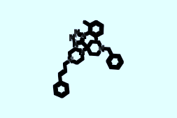 Cc1cccc(C)c1-n1nnnc1C1(N2CCN(CC=Cc3ccccc3)CC2)CCN(Cc2ccccc2)CC1